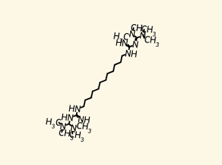 CN(C)C(=NC(=N)NCCCCCCCCCCCCNC(=N)NC(N(C)C)N(C)C)N(C)C